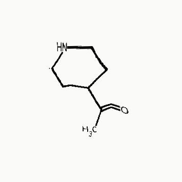 CC(=O)C1C[CH]NCC1